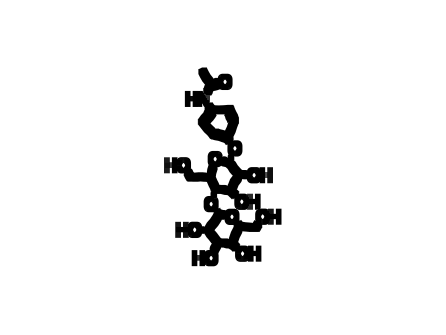 CC(=O)Nc1ccc(O[C@H]2OC(CO)[C@@H](O[C@H]3OC(CO)C(O)C(O)[C@H]3O)C(O)C2O)cc1